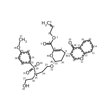 C=CCOC(=O)C1=C[C@H](c2coc3ccccc3c2=O)C[C@H](OCCN(CCO)S(=O)(=O)c2ccc(OC)cc2)O1